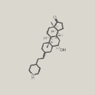 C[C@]12CC/C(=C\CC3CCNCC3)CC1[C@@H](O)C[C@@H]1[C@@H]2CC[C@]2(C)C(=O)CC[C@@H]12